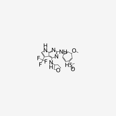 COC1C=C(Nc2nc(NC3CCOC3)c3c(C(F)(F)F)c[nH]c3n2)C=CC([SH](C)(C)=O)=C1